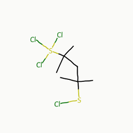 CC(C)(CC(C)(C)S(Cl)(Cl)Cl)SCl